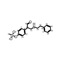 CS(=O)(=O)Oc1ccc(C(C=O)CNCCc2ccccc2)cc1